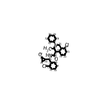 CC1=C(C(=O)N[C@H](c2ccccc2Cl)C2CC2=O)c2cccc(Cl)c2CN1c1ccccc1